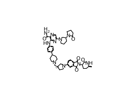 C=C1CCC(N2C(=O)c3ccc(N4CC[C@@H](CN5CCC(c6ccc(Nc7nc(N8CCCC(N9CCCC9=O)C8)cnc7C(N)=O)cc6)CC5)C4)cc3C2=O)C(=O)N1